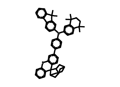 CC1(C)CCC(C)(C)c2cc(N(c3ccc(-c4ccc5c(c4)Sc4ccccc4C54C5CC6CC(C5)C4C6)cc3)c3ccc4c(c3)C(C)(C)c3ccccc3-4)ccc21